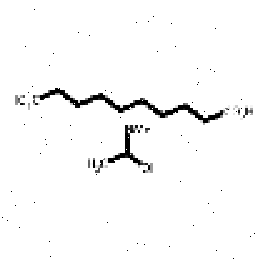 CNC(C)O.O=C(O)CCCCCCCCC(=O)O